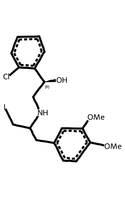 COc1ccc(CC(CI)NC[C@H](O)c2ccccc2Cl)cc1OC